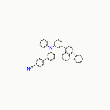 N#Cc1ccc(-c2cccc(N(c3ccccc3)C3C=C(c4ccc5c6c(cccc46)-c4ccccc4-5)C=CC3)c2)cc1